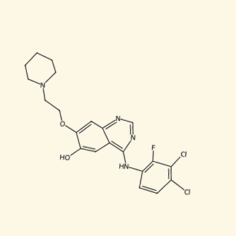 Oc1cc2c(Nc3ccc(Cl)c(Cl)c3F)ncnc2cc1OCCN1CCCCC1